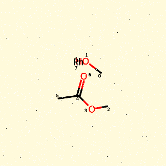 CO.COC(C)=O.[Rh]